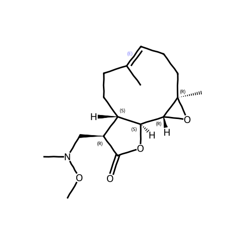 CON(C)C[C@@H]1C(=O)O[C@H]2[C@H]1CC/C(C)=C/CC[C@@]1(C)O[C@H]21